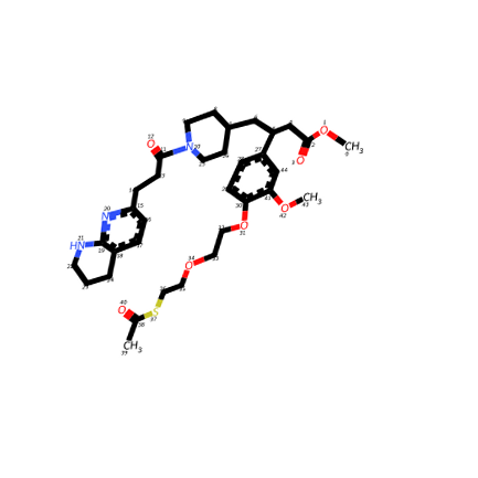 COC(=O)CC(CC1CCN(C(=O)CCc2ccc3c(n2)NCCC3)CC1)c1ccc(OCCOCCSC(C)=O)c(OC)c1